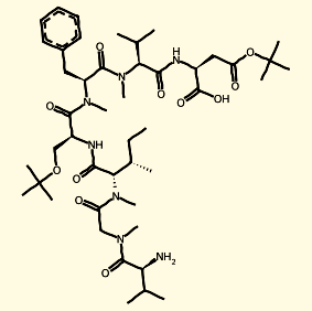 CC[C@H](C)[C@@H](C(=O)N[C@@H](COC(C)(C)C)C(=O)N(C)[C@@H](Cc1ccccc1)C(=O)N(C)[C@H](C(=O)N[C@@H](CC(=O)OC(C)(C)C)C(=O)O)C(C)C)N(C)C(=O)CN(C)C(=O)[C@@H](N)C(C)C